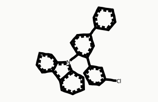 Clc1cccc(-c2cc(-c3ccccc3)ccc2-n2c3ccccc3c3ccccc32)c1